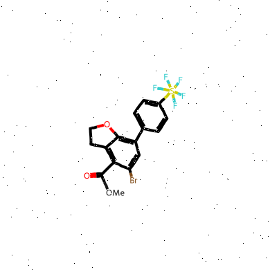 COC(=O)c1c(Br)cc(-c2ccc(S(F)(F)(F)(F)F)cc2)c2c1CCO2